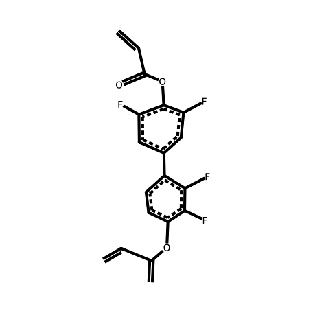 C=CC(=C)Oc1ccc(-c2cc(F)c(OC(=O)C=C)c(F)c2)c(F)c1F